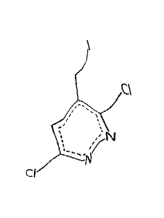 Clc1cc(CI)c(Cl)nn1